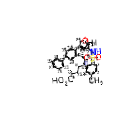 Cc1ccc(S(=O)(=O)N[C@@H]2[C@@H]3C[C@@](c4ccc(-c5ccccc5)cc4)(CO3)[C@H]2C/C=C\CCCC(=O)O)cc1